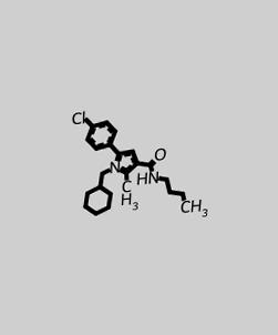 CCCCNC(=O)c1cc(-c2ccc(Cl)cc2)n(CC2CCCCC2)c1C